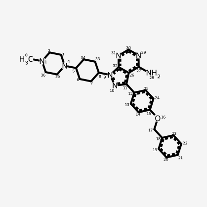 CN1CCN(C2CCC(n3nc(-c4ccc(OCc5ccccc5)cc4)c4c(N)ncnc43)CC2)CC1